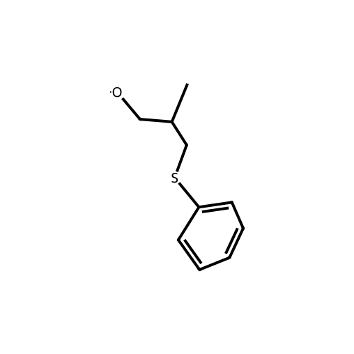 CC(C[O])CSc1ccccc1